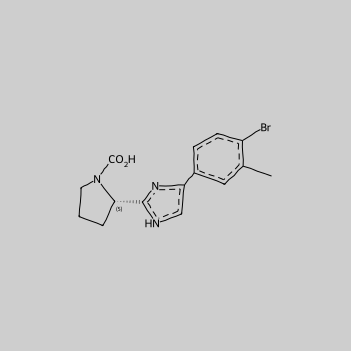 Cc1cc(-c2c[nH]c([C@@H]3CCCN3C(=O)O)n2)ccc1Br